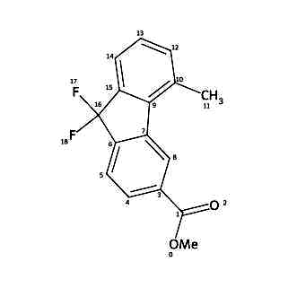 COC(=O)c1ccc2c(c1)-c1c(C)cccc1C2(F)F